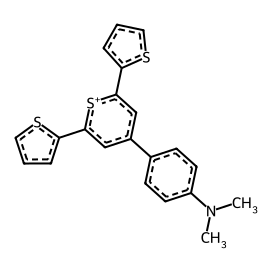 CN(C)c1ccc(-c2cc(-c3cccs3)[s+]c(-c3cccs3)c2)cc1